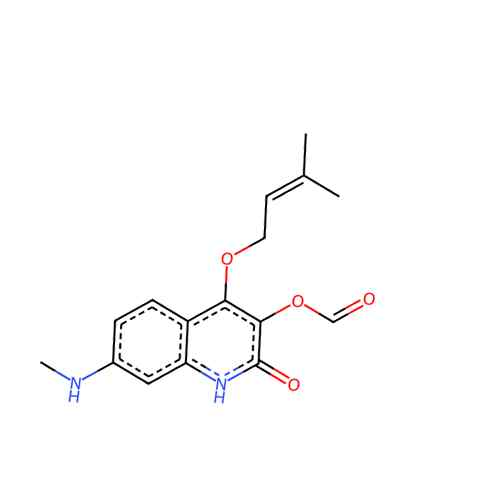 CNc1ccc2c(OCC=C(C)C)c(OC=O)c(=O)[nH]c2c1